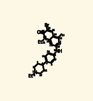 CCN1CCC(c2ccc(Nc3nc(C)c4cc(Br)c(=O)n(CC)c4n3)cc2)CC1